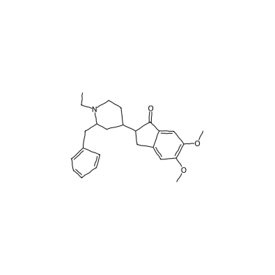 CCN1CCC(C2Cc3cc(OC)c(OC)cc3C2=O)CC1Cc1ccccc1